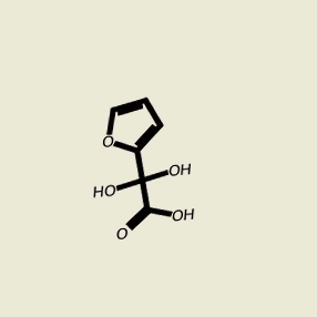 O=C(O)C(O)(O)c1ccco1